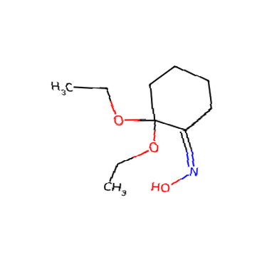 CCOC1(OCC)CCCC/C1=N/O